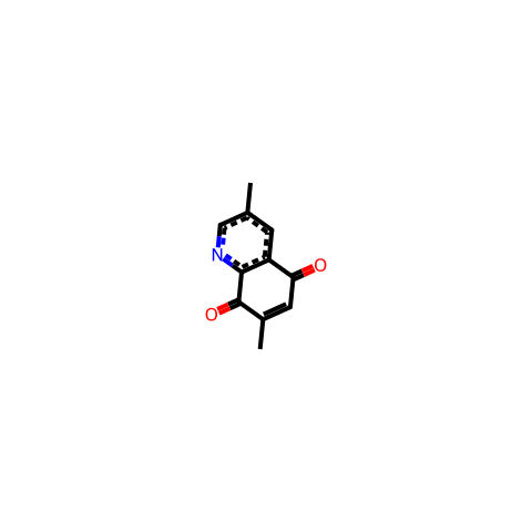 CC1=CC(=O)c2cc(C)cnc2C1=O